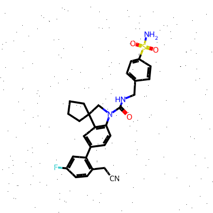 N#CCc1ccc(F)cc1-c1ccc2c(c1)C1(CCCC1)CN2C(=O)NCc1ccc(S(N)(=O)=O)cc1